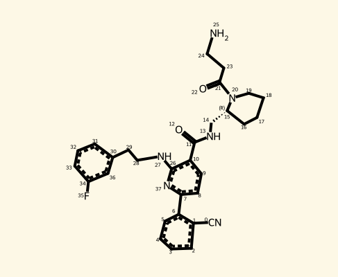 N#Cc1ccccc1-c1ccc(C(=O)NC[C@H]2CCCCN2C(=O)CCN)c(NCCc2cccc(F)c2)n1